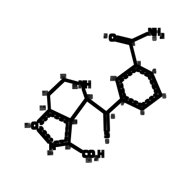 NC(=O)c1cccc(C(=S)C2NCCc3onc(C(=O)O)c32)c1